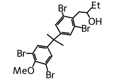 CCC(O)Cc1c(Br)cc(C(C)(C)c2cc(Br)c(OC)c(Br)c2)cc1Br